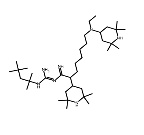 CCN(CCCCCCC(C(=N)/N=C(\N)NC(C)(C)CC(C)(C)C)C1CC(C)(C)NC(C)(C)C1)C1CC(C)(C)NC(C)(C)C1